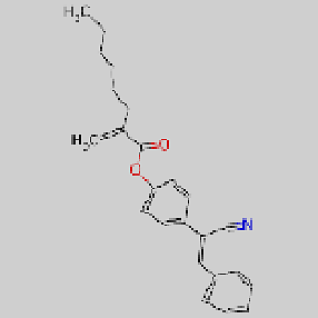 C=C(CCCCCC)C(=O)Oc1ccc(C(C#N)=Cc2ccccc2)cc1